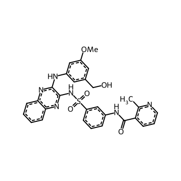 COc1cc(CO)cc(Nc2nc3ccccc3nc2NS(=O)(=O)c2cccc(NC(=O)c3cccnc3C)c2)c1